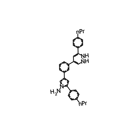 CCCc1ccc(C2=CC(c3cccc(-c4cc(-c5ccc(CCC)cc5)n(N)c4)c3)=CNN2)cc1